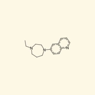 CCN1CCCN(c2ccc3ncccc3c2)CC1